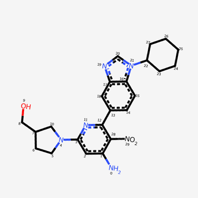 Nc1cc(N2CCC(CO)C2)nc(-c2ccc3c(c2)ncn3C2CCCCC2)c1[N+](=O)[O-]